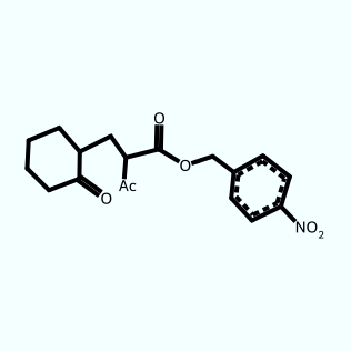 CC(=O)C(CC1CCCCC1=O)C(=O)OCc1ccc([N+](=O)[O-])cc1